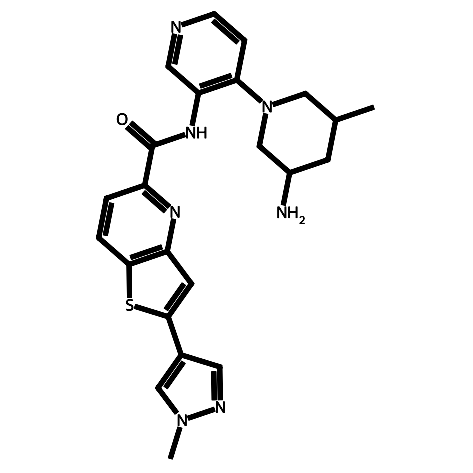 CC1CC(N)CN(c2ccncc2NC(=O)c2ccc3sc(-c4cnn(C)c4)cc3n2)C1